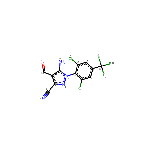 N#Cc1nn(-c2c(Cl)cc(C(F)(F)F)cc2Cl)c(N)c1C=O